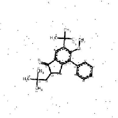 COc1c(C(C)(C)C)cc2c(c1-c1ccccc1)CC(CC(C)(C)C)C2=O